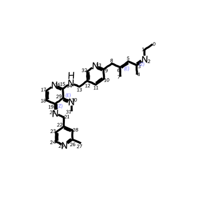 CC/N=C(C)\C=C(/C)Cc1ccc(CNC2=NC=CC(=N/Cc3ccnc(C)c3)/C2=N\C)cn1